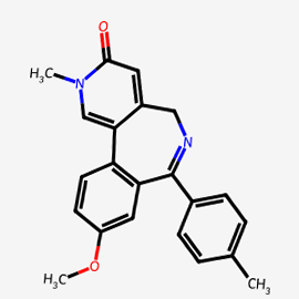 COc1ccc2c(c1)C(c1ccc(C)cc1)=NCc1cc(=O)n(C)cc1-2